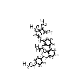 C=Cc1ccc(CCc2cccc(-c3cccc(CN4CCC(C)(C(=C)CCC)C4)c3C)c2C)cc1